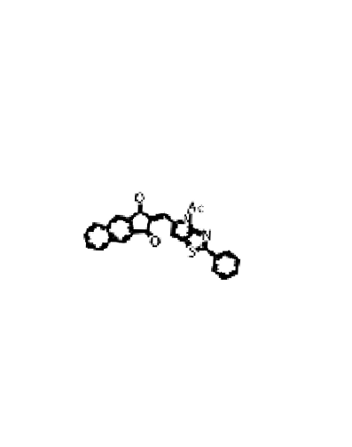 CC(=O)n1c(C=C2C(=O)c3cc4ccccc4cc3C2=O)cc2sc(-c3ccccc3)nc21